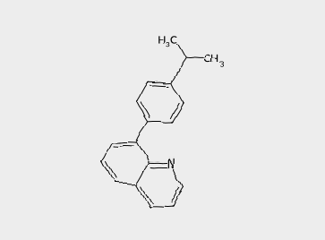 CC(C)c1ccc(-c2cccc3cccnc23)cc1